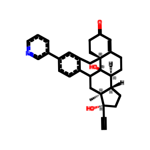 C#C[C@]1(O)CC[C@H]2[C@@H]3CCC4=CC(=O)CC[C@@]45Cc4cc(-c6cccnc6)ccc4C(C[C@@]21C)[C@@]35O